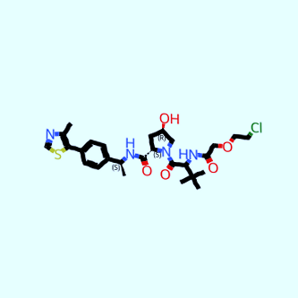 Cc1ncsc1-c1ccc([C@H](C)NC(=O)[C@@H]2C[C@@H](O)CN2C(=O)C(NC(=O)COCCCl)C(C)(C)C)cc1